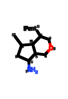 CCCC(C)C1COCC2C(N)CC(C)C12